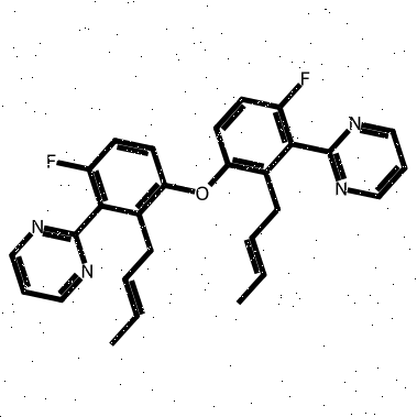 C/C=C/Cc1c(Oc2ccc(F)c(-c3ncccn3)c2C/C=C/C)ccc(F)c1-c1ncccn1